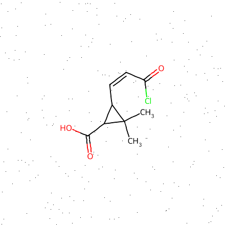 CC1(C)C(/C=C\C(=O)Cl)C1C(=O)O